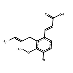 CC=CCc1c(C=CC(=O)O)ccc(O)c1OC